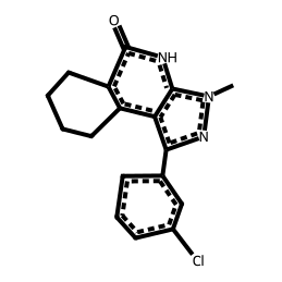 Cn1nc(-c2cccc(Cl)c2)c2c3c(c(=O)[nH]c21)CCCC3